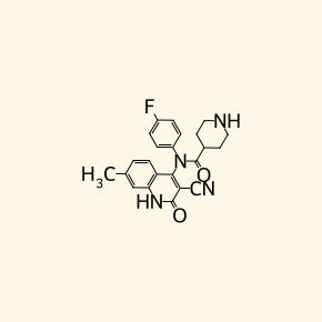 Cc1ccc2c(N(C(=O)C3CCNCC3)c3ccc(F)cc3)c(C#N)c(=O)[nH]c2c1